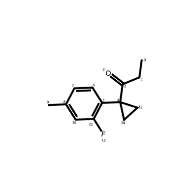 CCC(=O)C1(c2ccc(C)cc2F)CC1